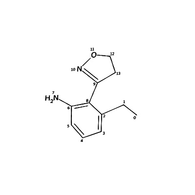 CCc1cccc(N)c1C1=NOCC1